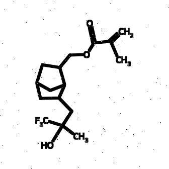 C=C(C)C(=O)OCC1CC2CC(CC(C)(O)C(F)(F)F)C1C2